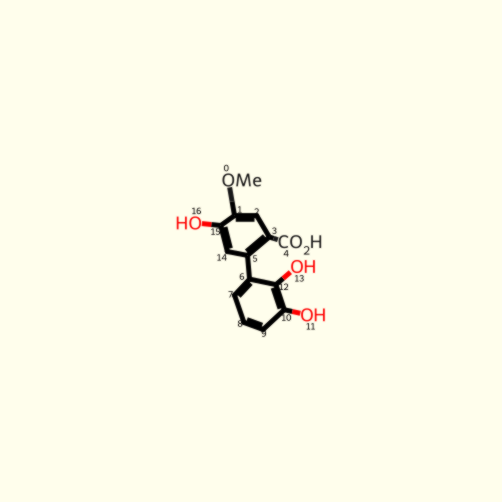 COc1cc(C(=O)O)c(-c2cccc(O)c2O)cc1O